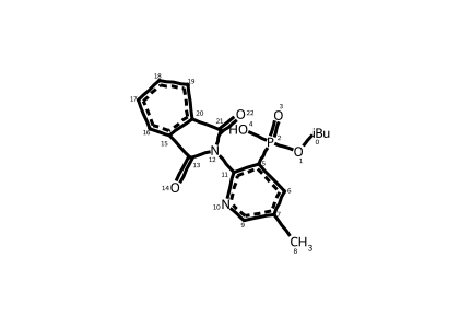 CCC(C)OP(=O)(O)c1cc(C)cnc1N1C(=O)c2ccccc2C1=O